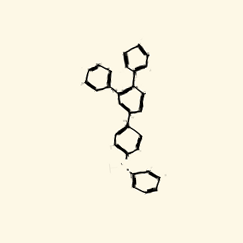 c1ccc(Nc2ccc(-c3ccc(-c4ccccc4)c(-c4ccccc4)c3)cc2)cc1